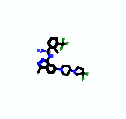 Cc1c([C@@H](N)Nc2nnc(C)c3ccc(N4CCC(N5CCC(F)(F)C5)CC4)cc23)cccc1C(F)(F)F